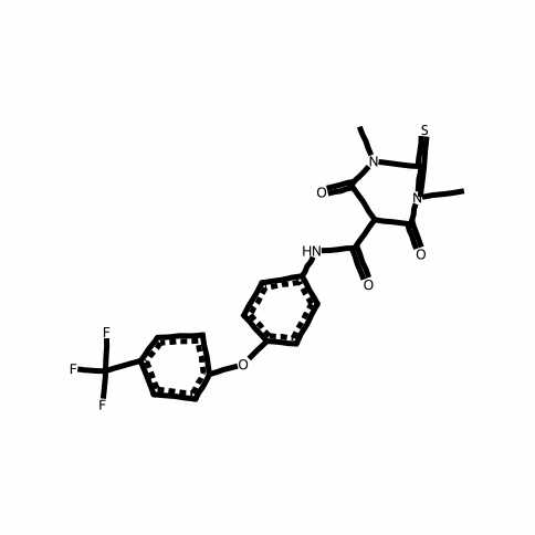 CN1C(=O)C(C(=O)Nc2ccc(Oc3ccc(C(F)(F)F)cc3)cc2)C(=O)N(C)C1=S